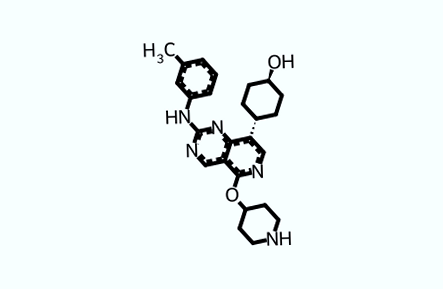 Cc1cccc(Nc2ncc3c(OC4CCNCC4)ncc([C@H]4CC[C@H](O)CC4)c3n2)c1